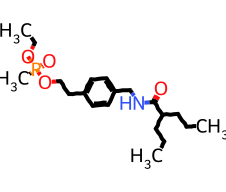 CCCC(CCC)C(=O)NCc1ccc(CCOP(C)(=O)OCC)cc1